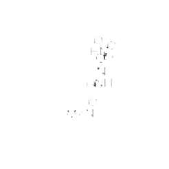 CNCc1ccc(CCC(=O)NCCN2CCC(OC(=O)Nc3ccccc3-c3ccccc3)CC2)cc1